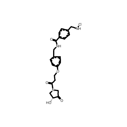 O=C(NCc1ccc(OCCC(=O)N2CC(=O)[C@H](O)C2)cc1)c1ccc(CNCl)cc1